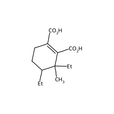 CCC1CCC(C(=O)O)=C(C(=O)O)C1(C)CC